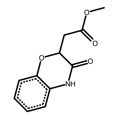 COC(=O)CC1Oc2ccccc2NC1=O